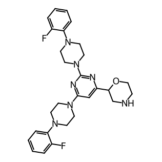 Fc1ccccc1N1CCN(c2cc(C3CNCCO3)nc(N3CCN(c4ccccc4F)CC3)n2)CC1